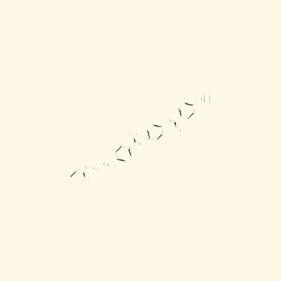 C=CC(=O)OCCOc1ccc(C(=O)Oc2ccc(OC(=O)c3ccc(O)cc3)cc2)cc1